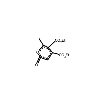 CCOC(=O)c1cc(=O)oc(C)c1C(=O)OCC